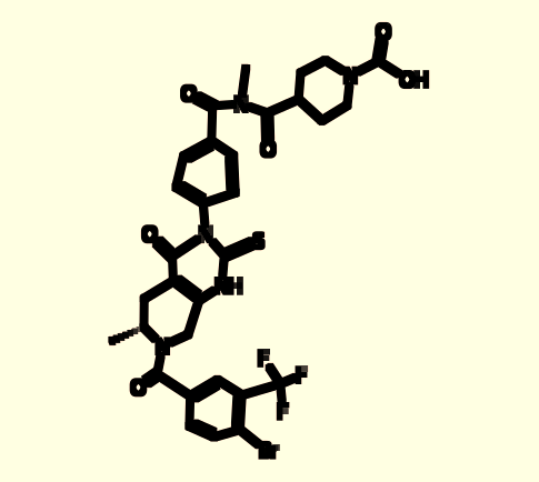 C[C@@H]1Cc2c([nH]c(=S)n(-c3ccc(C(=O)N(C)C(=O)C4CCN(C(=O)O)CC4)cc3)c2=O)CN1C(=O)c1ccc(Br)c(C(F)(F)F)c1